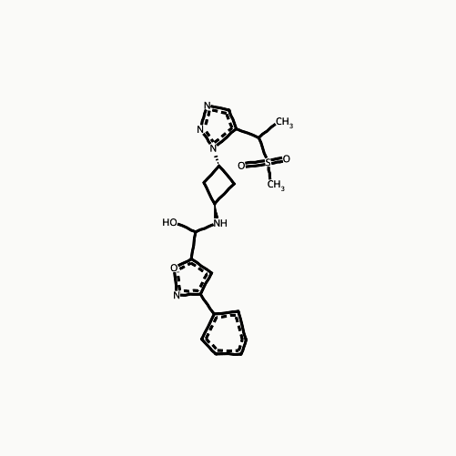 CC(c1cnnn1[C@H]1C[C@H](NC(O)c2cc(-c3ccccc3)no2)C1)S(C)(=O)=O